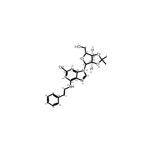 CC1(C)O[C@@H]2C(CO)OC(n3cnc4c(NCCc5ccccc5)nc(Cl)nc43)[C@@H]2O1